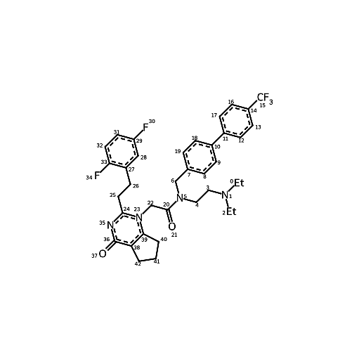 CCN(CC)CCN(Cc1ccc(-c2ccc(C(F)(F)F)cc2)cc1)C(=O)Cn1c(CCc2cc(F)ccc2F)nc(=O)c2c1CCC2